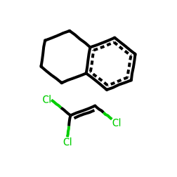 ClC=C(Cl)Cl.c1ccc2c(c1)CCCC2